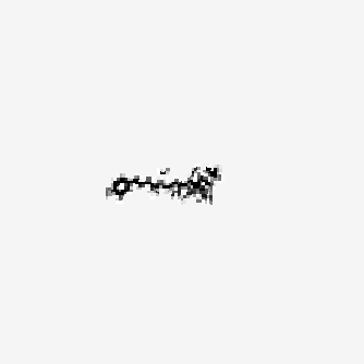 CC(C)(C)OC(=O)[C@](N)(CCCCNC(=O)CCCc1ccc(F)cc1)C(=O)O